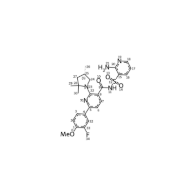 COc1ccc(-c2ccc(C(=O)NS(=O)(=O)c3cccnc3N)c(N3C[C@@H](C)CC3(C)C)n2)cc1F